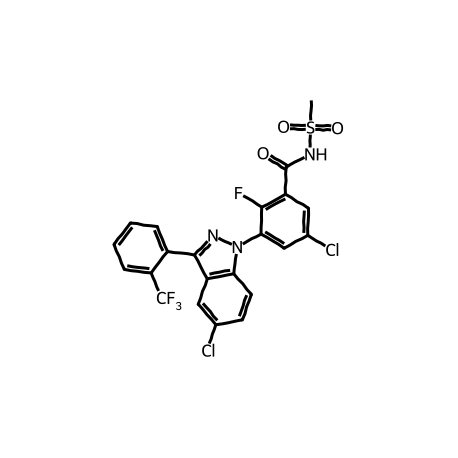 CS(=O)(=O)NC(=O)c1cc(Cl)cc(-n2nc(-c3ccccc3C(F)(F)F)c3cc(Cl)ccc32)c1F